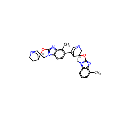 Cc1cccc2c1nc1n2C[C@]2(CN3CCC2C(c2ccc4c(nc5n4C[C@@]4(CN6CCC4CC6)O5)c2C)C3)O1